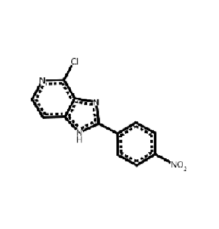 O=[N+]([O-])c1ccc(-c2nc3c(Cl)nccc3[nH]2)cc1